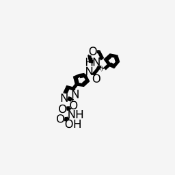 O=C(O)NC(=O)Oc1nccc(-c2ccc(NC(=O)[C@@H](Cc3ccccc3)N3CCOCC3)cc2)n1